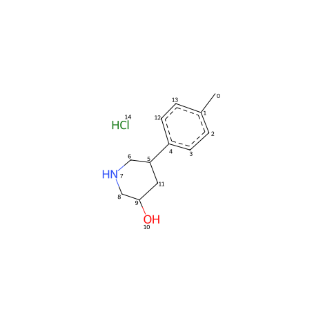 Cc1ccc(C2CNCC(O)C2)cc1.Cl